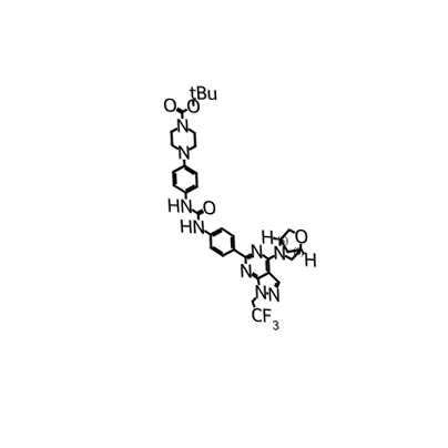 CC(C)(C)OC(=O)N1CCN(c2ccc(NC(=O)Nc3ccc(-c4nc(N5C[C@@H]6C[C@H]5CO6)c5cnn(CC(F)(F)F)c5n4)cc3)cc2)CC1